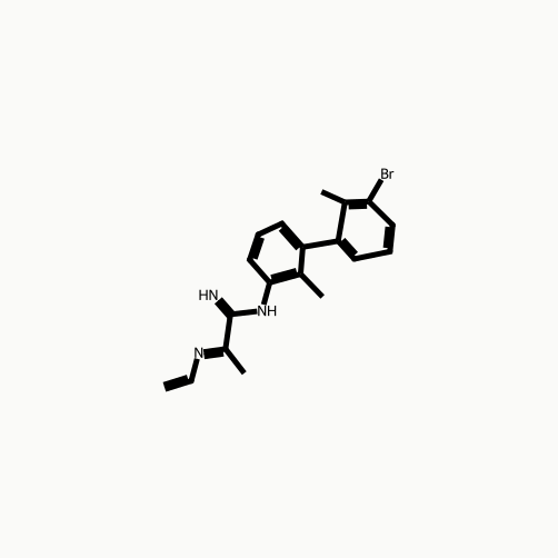 C=C/N=C(\C)C(=N)Nc1cccc(-c2cccc(Br)c2C)c1C